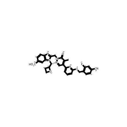 Cc1c(-c2cccc(OCc3ccc(C#N)cc3F)n2)cnn(Cc2nc3ccc(C(=O)O)cc3n2CC2CCO2)c1=O